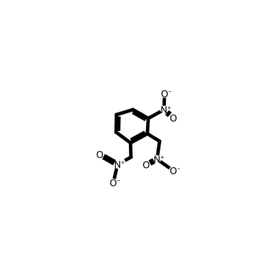 O=[N+]([O-])Cc1cccc([N+](=O)[O-])c1C[N+](=O)[O-]